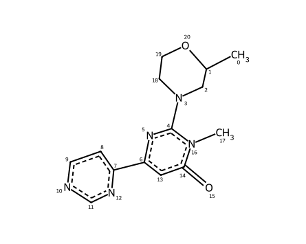 CC1CN(c2nc(-c3ccncn3)cc(=O)n2C)CCO1